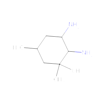 CC1CC(N)C(N)C(C)(C)C1